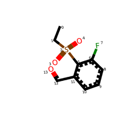 CCS(=O)(=O)c1c(F)cccc1C=O